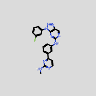 CNc1nccc(-c2cccc(Nc3ncc4nnn(-c5cccc(F)c5)c4n3)c2)n1